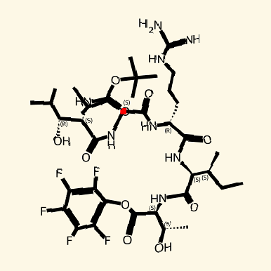 CC[C@H](C)[C@H](NC(=O)[C@@H](CCCNC(=N)N)NC(=O)[C@H](CC(C)C)NC(=O)[C@@H](NC(=O)OC(C)(C)C)[C@H](O)C(C)C)C(=O)N[C@H](C(=O)Oc1c(F)c(F)c(F)c(F)c1F)[C@H](C)O